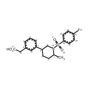 CC1CCC(c2cccc(CC(=O)O)c2)CN1S(=O)(=O)c1ccc(F)cc1